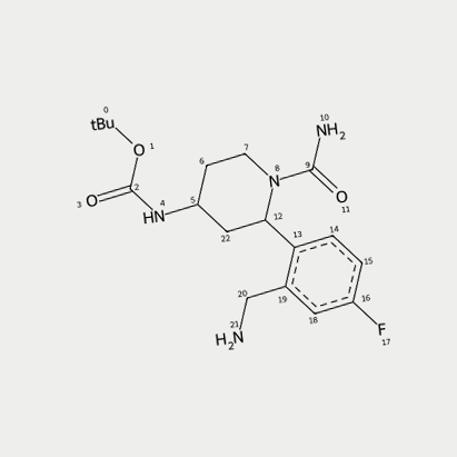 CC(C)(C)OC(=O)NC1CCN(C(N)=O)C(c2ccc(F)cc2CN)C1